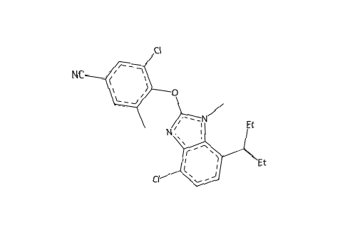 CCC(CC)c1ccc(Cl)c2nc(Oc3c(C)cc(C#N)cc3Cl)n(C)c12